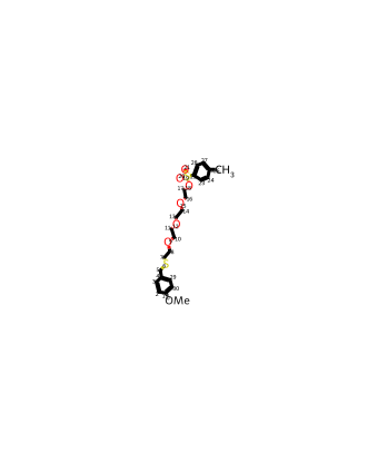 COc1ccc(CSCCOCCOCCOCCOS(=O)(=O)c2ccc(C)cc2)cc1